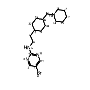 Brc1cnc(NCCC2CCC(CN3CCCCC3)CC2)nc1